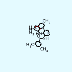 Cc1cc(C)cc(C(=O)Nc2cncc(-c3cc(C)cc(C)c3)c2Nc2cccc(N)c2)c1